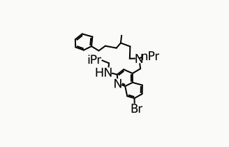 CCCN(CCC(C)CCCc1ccccc1)Cc1cc(NCC(C)C)nc2cc(Br)ccc12